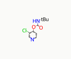 CC(C)(C)NC(=O)Oc1ccncc1Cl